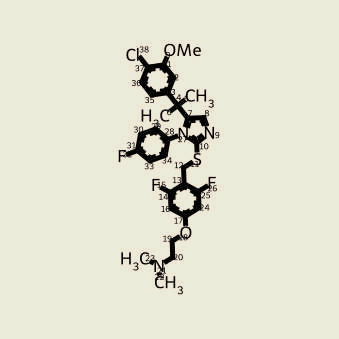 COc1cc(C(C)(C)c2cnc(SCc3c(F)cc(OCCN(C)C)cc3F)n2-c2ccc(F)cc2)ccc1Cl